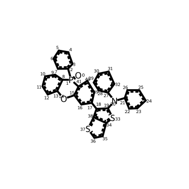 O=P1(c2ccccc2)c2ccccc2Oc2cc(-c3c(N(c4ccccc4)c4ccccc4)sc4ccsc34)ccc21